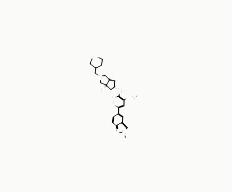 COc1cc(-c2ccc3nn(C)cc3c2)nnc1N[C@@H]1C[C@@H]2CN(CC3CCOCC3)C[C@@H]2C1